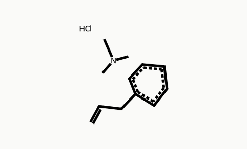 C=CCc1ccccc1.CN(C)C.Cl